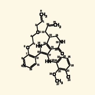 C=CCOCCOc1cnccc1-c1[nH]c2c(c1Nc1cccc(Cl)c1OC)C(=O)NCC2CC=C